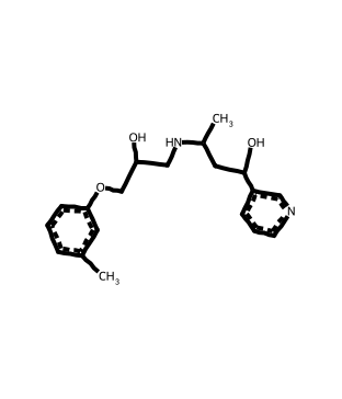 Cc1cccc(OCC(O)CNC(C)CC(O)c2cccnc2)c1